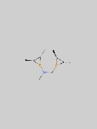 C[C@H]1[C@H](C)P1CN(C)P1[C@@H](C)[C@@H]1C